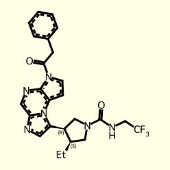 CC[C@@H]1CN(C(=O)NCC(F)(F)F)C[C@@H]1c1cnc2cnc3c(ccn3C(=O)Cc3ccccc3)n12